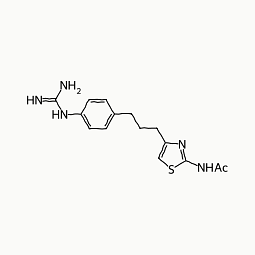 CC(=O)Nc1nc(CCCc2ccc(NC(=N)N)cc2)cs1